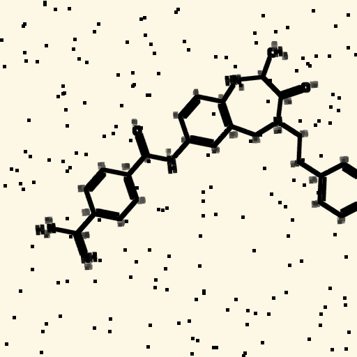 CC1Nc2ccc(NC(=O)c3ccc(C(=N)N)cc3)cc2CN(CCc2ccccc2)C1=O